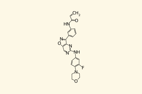 C=CC(=O)Nc1cccc(-c2noc3cnc(Nc4ccc(N5CCOCC5)c(F)c4)nc23)c1